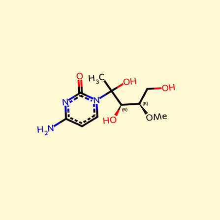 CO[C@H](CO)[C@@H](O)C(C)(O)n1ccc(N)nc1=O